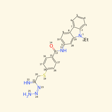 CCn1c2ccccc2c2ccc(NC(=O)c3ccc(SCC(=N)/N=N\N)cc3)cc21